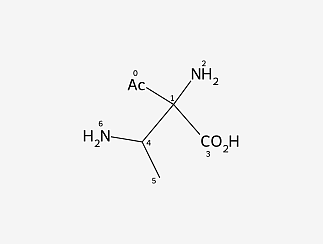 CC(=O)C(N)(C(=O)O)C(C)N